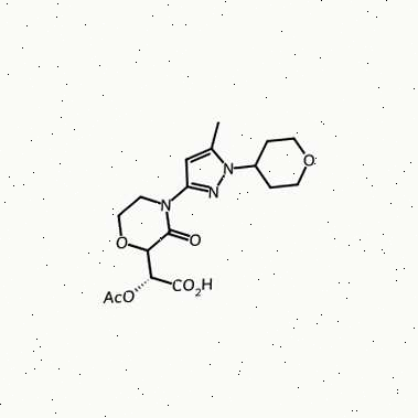 CC(=O)O[C@@H](C(=O)O)C1OCCN(c2cc(C)n(C3CCOCC3)n2)C1=O